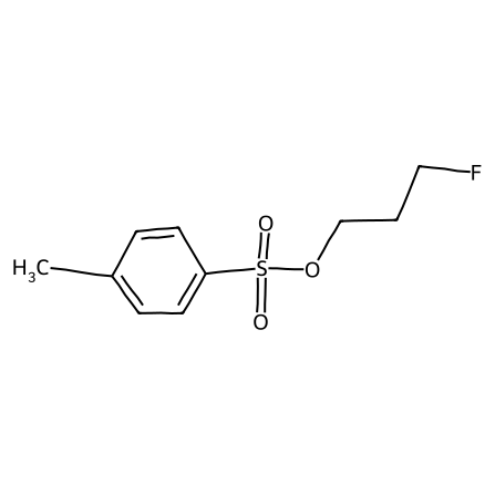 Cc1ccc(S(=O)(=O)OCCCF)cc1